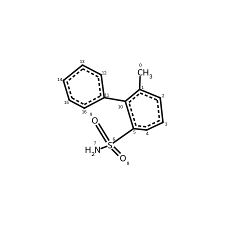 Cc1cccc(S(N)(=O)=O)c1-c1ccccc1